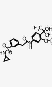 Cc1cc(NC(=O)Cc2cccc(S(=O)(=O)NC3CC3)c2)ccc1C(O)(C(F)(F)F)C(F)(F)F